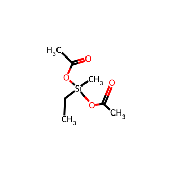 CC[Si](C)(OC(C)=O)OC(C)=O